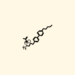 C=C(C)C(=O)OC(CCN(C)C)Cc1ccc(-c2ccc(CCCCC)cc2)cc1